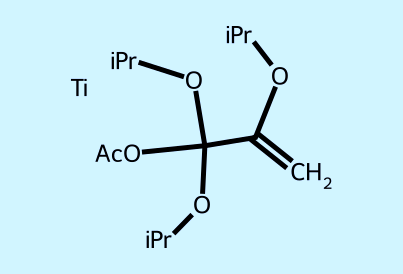 C=C(OC(C)C)C(OC(C)=O)(OC(C)C)OC(C)C.[Ti]